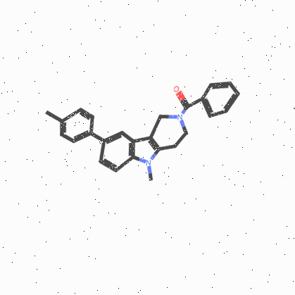 Cc1ccc(-c2ccc3c(c2)c2c(n3C)CCN(C(=O)c3ccccc3)C2)cc1